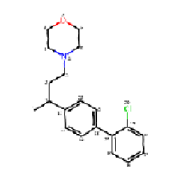 CC(CCN1CCOCC1)c1ccc(-c2ccccc2Cl)cc1